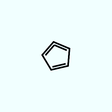 C1=CC=CC=1